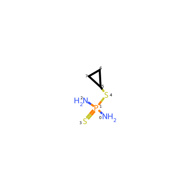 NP(N)(=S)SC1CC1